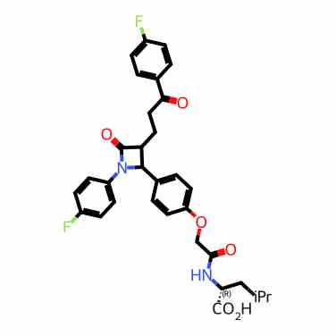 CC(C)C[C@@H](NC(=O)COc1ccc(C2C(CCC(=O)c3ccc(F)cc3)C(=O)N2c2ccc(F)cc2)cc1)C(=O)O